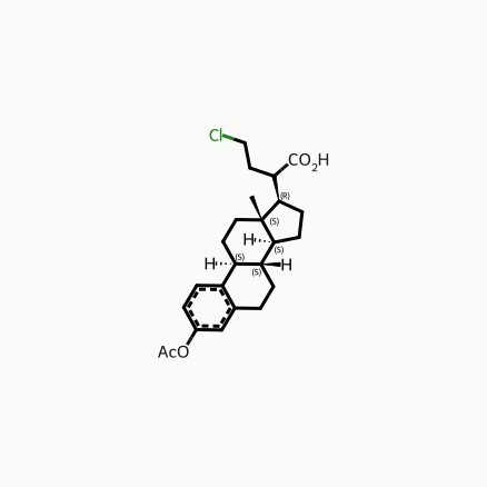 CC(=O)Oc1ccc2c(c1)CC[C@@H]1[C@@H]2CC[C@]2(C)[C@@H](C(CCCl)C(=O)O)CC[C@@H]12